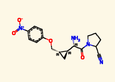 N#CC1CCCN1C(=O)[C@@H](N)[C@H]1C[C@@H]1COc1ccc([N+](=O)[O-])cc1